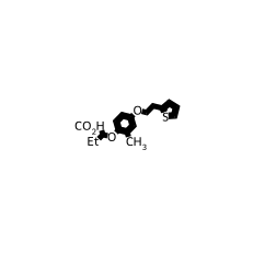 CCC(Oc1ccc(OCCc2cccs2)cc1C)C(=O)O